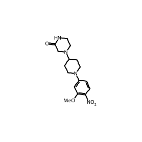 COc1cc(N2CCC(N3CCNC(=O)C3)CC2)ccc1[N+](=O)[O-]